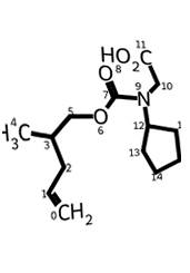 C=CCC(C)COC(=O)N(CC(=O)O)C1CCCC1